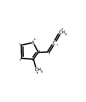 C=C=Cc1sccc1C